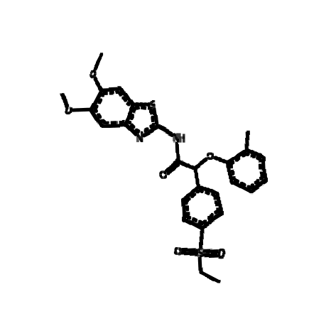 CCS(=O)(=O)c1ccc(C(Oc2ccccc2C)C(=O)Nc2nc3cc(OC)c(OC)cc3s2)cc1